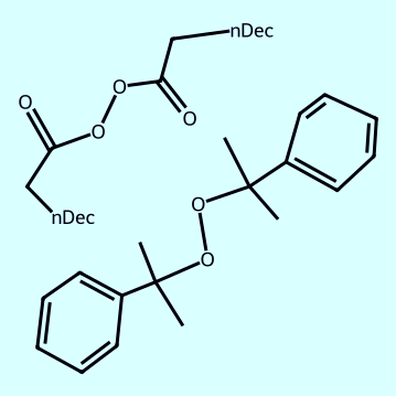 CC(C)(OOC(C)(C)c1ccccc1)c1ccccc1.CCCCCCCCCCCC(=O)OOC(=O)CCCCCCCCCCC